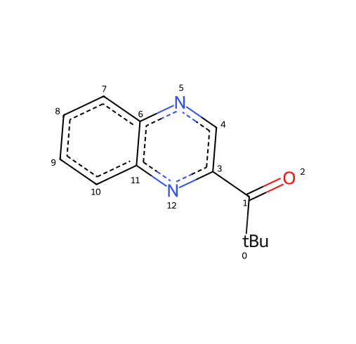 CC(C)(C)C(=O)c1cnc2ccccc2n1